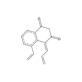 C=C/C=C1/C(=O)CC(=O)c2cccc(C=C)c21